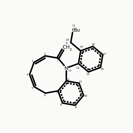 C=C1/C=C\C=C/Cc2ccccc2N1c1ccccc1CC(C)(C)C